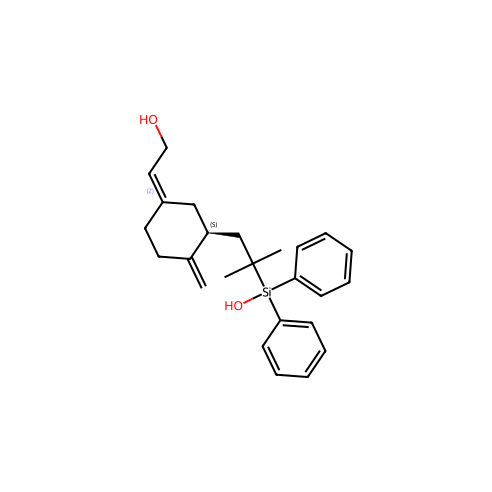 C=C1CC/C(=C/CO)C[C@H]1CC(C)(C)[Si](O)(c1ccccc1)c1ccccc1